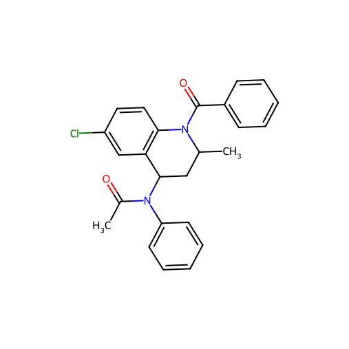 CC(=O)N(c1ccccc1)C1CC(C)N(C(=O)c2ccccc2)c2ccc(Cl)cc21